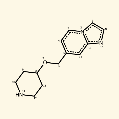 c1cn2ccc(COC3CCNCC3)cc2n1